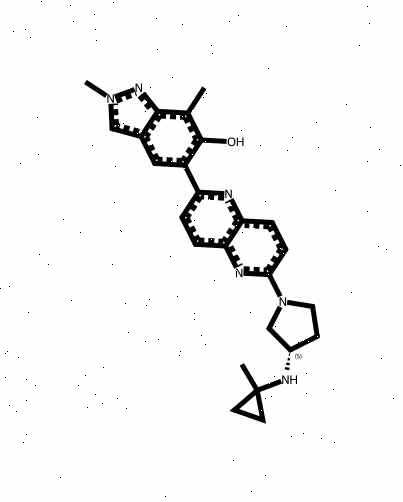 Cc1c(O)c(-c2ccc3nc(N4CC[C@H](NC5(C)CC5)C4)ccc3n2)cc2cn(C)nc12